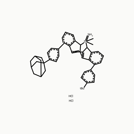 CCC1=Cc2c(-c3ccc(C45CC6CC(CC(C6)C4)C5)cc3)cccc2[CH]1[Zr]([CH3])([CH3])(=[SiH2])[CH]1C(C(C)CC)=Cc2c(-c3ccc(C(C)(C)C)cc3)cccc21.Cl.Cl